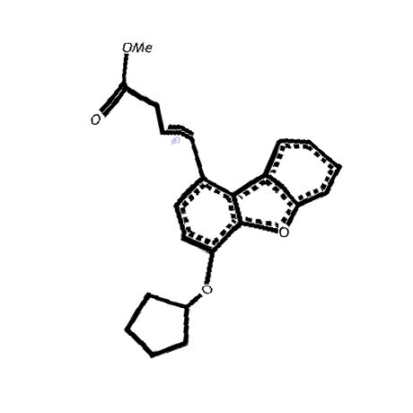 COC(=O)C/C=C/c1ccc(OC2CCCC2)c2oc3ccccc3c12